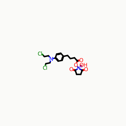 O=C(CCCc1ccc(N(CCCl)CCCl)cc1)O[N+]1(O)C(=O)CCC1=O